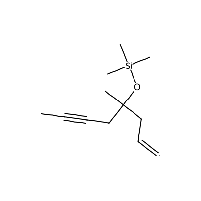 [CH]=CCC(C)(CC#CC)O[Si](C)(C)C